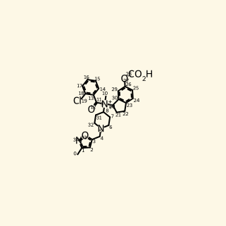 Cc1cc(CN2CCC([N+](C)(C(=O)c3ccccc3Cl)[C@@H]3CCc4ccc(OC(=O)O)cc43)CC2)on1